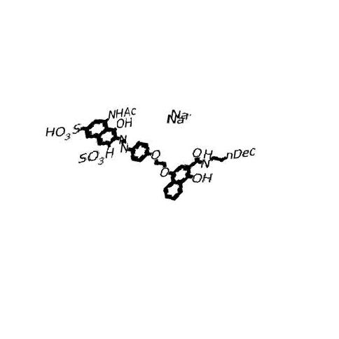 CCCCCCCCCCCCNC(=O)c1cc(OCCOc2ccc(N=Nc3c(S(=O)(=O)O)cc4cc(S(=O)(=O)O)cc(NC(C)=O)c4c3O)cc2)c2ccccc2c1O.[Na].[Na]